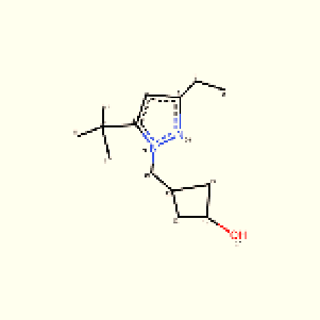 CCc1cc(C(C)(C)C)n(CC2CC(O)C2)n1